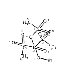 CC(C)[O][Ti](=[O])([O]S(C)(=O)=O)([S](C)(=O)=O)[S](C)(=O)=O